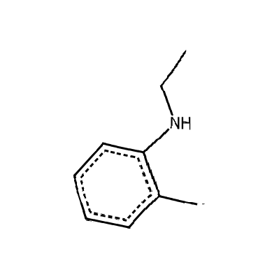 [CH2]c1ccccc1NCC